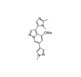 COc1cc(-c2cnn(C)c2)cn2ncc(-c3cnc(C)n3C)c12